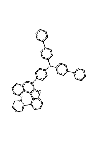 C1=CCNC(c2cccc3oc4c(-c5ccc(N(c6ccc(-c7ccccc7)cc6)c6ccc(-c7ccccc7)cc6)cc5)cc5ccccc5c4c23)=C1